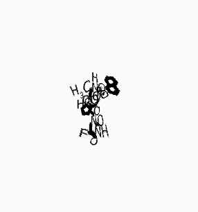 C[C@H](NP(=O)(OC[C@H]1O[C@@H](n2cc(F)c(=O)[nH]c2=O)C[C@H]1O)Oc1cccc2ccccc12)C(=O)OC1CCCC1